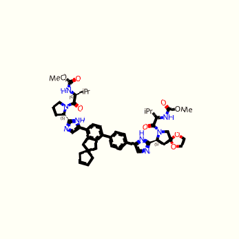 COC(=O)NC(C(=O)N1CC2(C[C@H]1c1ncc(-c3ccc(-c4ccc(-c5cnc([C@@H]6CCCN6C(=O)[C@@H](NC(=O)OC)C(C)C)[nH]5)c5c4CC4(CCCC4)C5)cc3)[nH]1)OCCO2)C(C)C